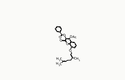 CC(=O)Oc1c(OC(=O)c2ccccc2)c(=O)oc2c(OC/C=C(\C)CCC=C(C)C)cccc12